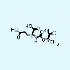 C[C@H](OC(=O)N[C@@H](CCC(=O)O)C(=O)O)C(=O)O